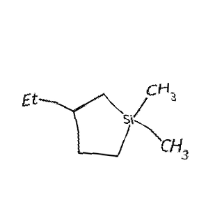 CCC1CC[Si](C)(C)C1